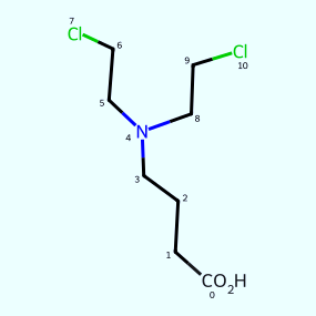 O=C(O)CCCN(CCCl)CCCl